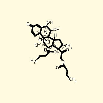 CCCC(=O)OCC(=O)[C@]1(OC(=O)CCC)[C@H](C)C[C@H]2[C@@H]3[C@H](O)[C@H](O)C4=CC(=O)C=C[C@]4(C)[C@@]3(Cl)[C@@H](Cl)C[C@@]21C